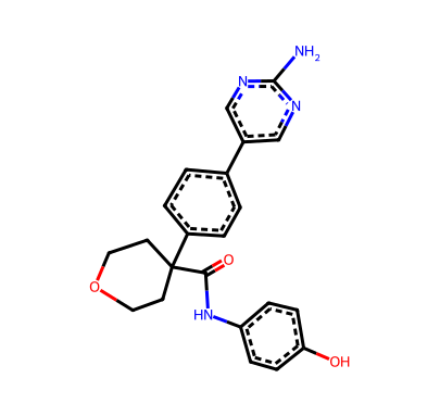 Nc1ncc(-c2ccc(C3(C(=O)Nc4ccc(O)cc4)CCOCC3)cc2)cn1